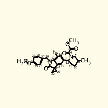 COC(=O)C(=O)N1CC(C)CCC1c1cc(F)c2c(c1)C1(CC1)C(=O)N2Cc1ccc(OC)cc1